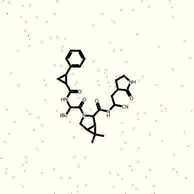 CC(C)(C)C(NC(=O)C1CC1c1ccccc1)C(=O)N1CC2C(C1C(=O)NC(C#N)CC1CCNC1=O)C2(C)C